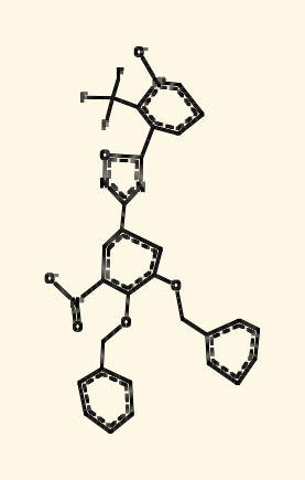 O=[N+]([O-])c1cc(-c2noc(-c3ccc[n+]([O-])c3C(F)(F)F)n2)cc(OCc2ccccc2)c1OCc1ccccc1